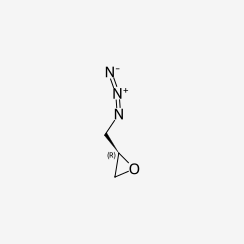 [N-]=[N+]=NC[C@@H]1CO1